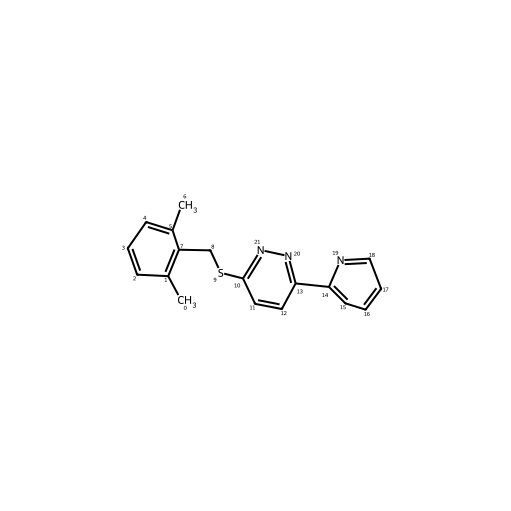 Cc1cccc(C)c1CSc1ccc(-c2ccccn2)nn1